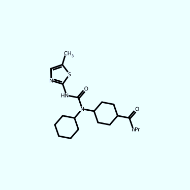 CCCC(=O)C1CCC(N(C(=O)Nc2ncc(C)s2)C2CCCCC2)CC1